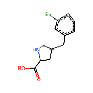 O=C(O)C1CC(Cc2cccc(Cl)c2)CN1